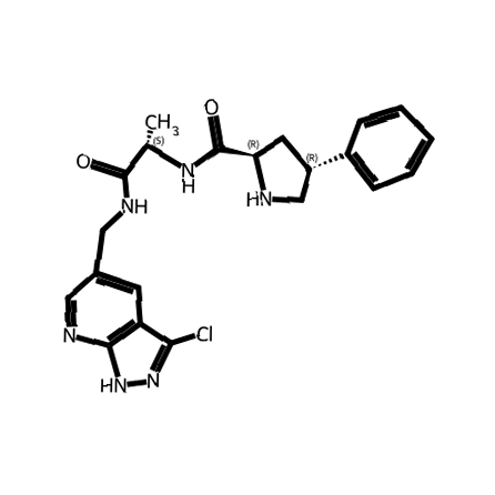 C[C@H](NC(=O)[C@H]1C[C@H](c2ccccc2)CN1)C(=O)NCc1cnc2[nH]nc(Cl)c2c1